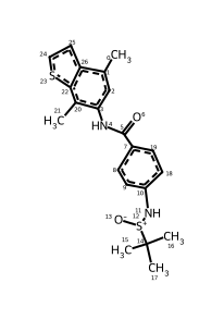 Cc1cc(NC(=O)c2ccc(N[S+]([O-])C(C)(C)C)cc2)c(C)c2sccc12